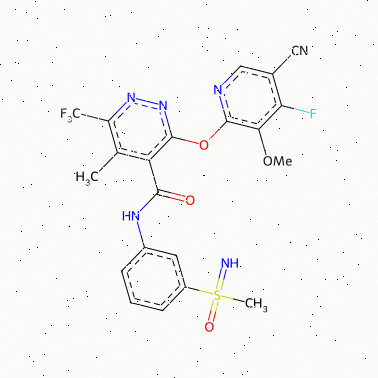 COc1c(Oc2nnc(C(F)(F)F)c(C)c2C(=O)Nc2cccc(S(C)(=N)=O)c2)ncc(C#N)c1F